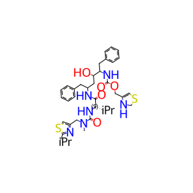 CC(C)c1nc(CN(C)C(=O)N[C@H](C(=O)NC(Cc2ccccc2)CC(O)C(Cc2ccccc2)NC(=O)OCC2=CSCN2)C(C)C)cs1